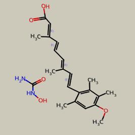 COc1cc(C)c(/C=C/C(C)=C/C=C/C(C)=C/C(=O)O)c(C)c1C.NC(=O)NO